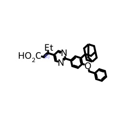 CC/C(=C\C(=O)O)c1cnc(-c2ccc(OCc3ccccc3)c(C34CC5CC(CC(C5)C3)C4)c2)nc1